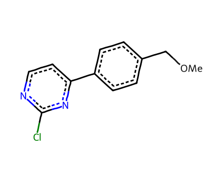 COCc1ccc(-c2ccnc(Cl)n2)cc1